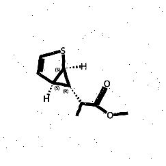 COC(=O)C(C)[C@@H]1[C@H]2C=CS[C@H]21